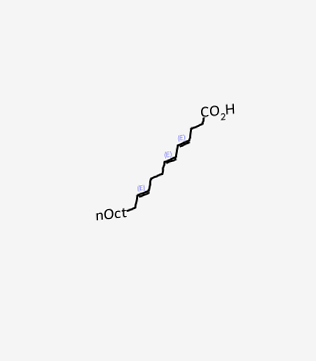 CCCCCCCCC/C=C/CC/C=C/C=C/CCC(=O)O